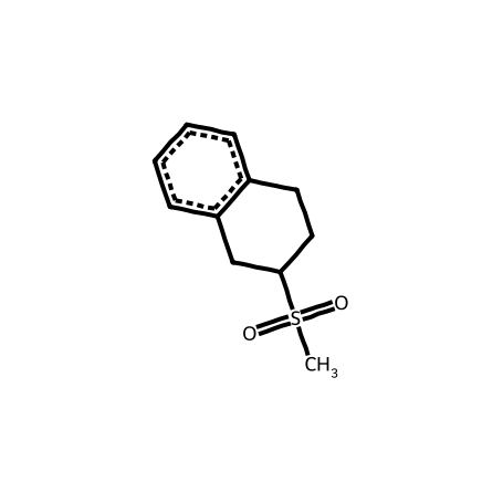 CS(=O)(=O)C1CCc2ccccc2C1